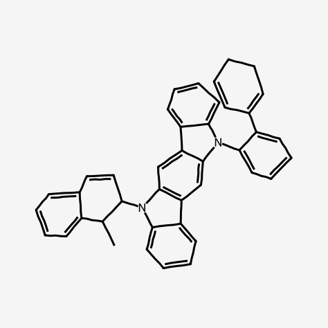 CC1c2ccccc2C=CC1n1c2ccccc2c2cc3c(cc21)c1ccccc1n3-c1ccccc1C1=CCCC=C1